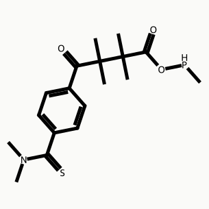 CPOC(=O)C(C)(C)C(C)(C)C(=O)c1ccc(C(=S)N(C)C)cc1